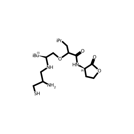 CC[C@H](C)C(COC(CC(C)C)C(=O)N[C@@H]1CCOC1=O)NCC(N)CS